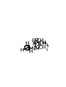 CC1(C)OC(N[C@@]23C[C@@H]4C[C@@H](C[C@@H]2C4)C3)=NS(=O)(=O)C1(C)C